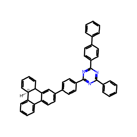 C1=CC2c3cc(-c4ccc(-c5nc(-c6ccccc6)nc(-c6ccc(-c7ccccc7)cc6)n5)cc4)ccc3-c3ccccc3[C@H]2C=C1